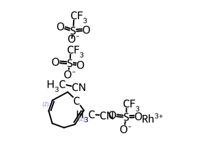 C1=C\CC/C=C\CC/1.CC#N.CC#N.O=S(=O)([O-])C(F)(F)F.O=S(=O)([O-])C(F)(F)F.O=S(=O)([O-])C(F)(F)F.[Rh+3]